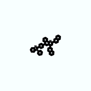 c1ccc(-n2c(-c3ccc(-c4cc5c(-c6ccc7ccccc7c6)cc(-c6ccc7ccccc7c6)nc5c5ccccc45)cc3)nc3ccccc32)cc1